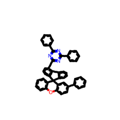 c1ccc(-c2ccc3c(c2)C2(c4ccccc4O3)c3ccccc3-c3c(-c4nc(-c5ccccc5)nc(-c5ccccc5)n4)cccc32)cc1